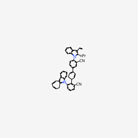 C=Cc1c(CCC)n(-c2ccc(C3=CCC(c4c(C#N)cccc4-n4c5c(c6ccccc64)C=CC=CC5)C=C3)cc2C#N)c2ccccc12